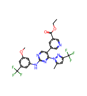 CCOC(=O)c1cncc(-c2cnc(Nc3cc(OC)cc(C(F)(F)F)c3)nc2-n2nc(C(F)(F)F)cc2C)c1